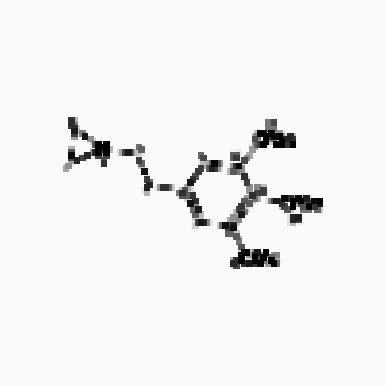 COc1cc(CCN2CC2)cc(OC)c1OC